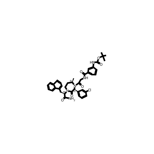 C[C@@H]1CCN([C@H](Cc2cccc3ccccc23)C(N)=O)C(=O)[C@H](c2cccc(Cl)c2)N1C(=O)CNC(=O)c1cccc(NC(=O)OC(C)(C)C)c1